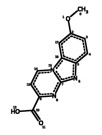 COc1ccc2nc3nc(C(=O)O)ccn3c2c1